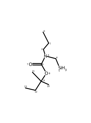 CCCN(C[SiH3])C(=O)OC(C)(C)CC